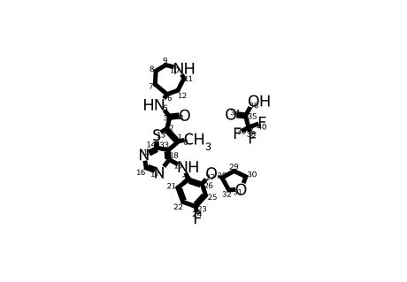 Cc1c(C(=O)NC2CCCNCC2)sc2ncnc(Nc3ccc(F)cc3O[C@@H]3CCOC3)c12.O=C(O)C(F)(F)F